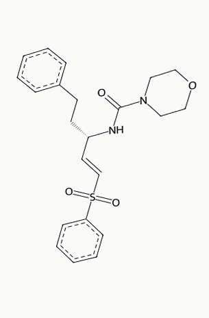 O=C(N[C@H](/C=C/S(=O)(=O)c1ccccc1)CCc1ccccc1)N1CCOCC1